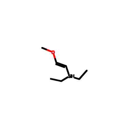 CC[SiH](C=COC)CC